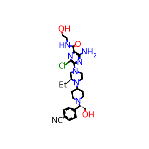 CC[C@H]1CN(c2nc(N)c(C(=O)NCCO)nc2Cl)CCN1C1CCN([C@H](CO)c2ccc(C#N)cc2)CC1